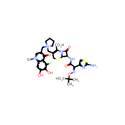 CCn1cc(C[N+]2(CC3=C(C(=O)O)N4C(=O)[C@@H](NC(=O)/C(=N\OC(C)(C)C(=O)O)c5csc(N)n5)C4SC3)CCCC2)c(=O)c2c(F)c(O)c(O)cc21